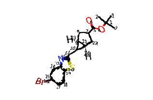 CC(C)(C)OC(=O)C1C[C@@H]2C(c3nc4cc(Br)ccc4s3)[C@@H]2C1